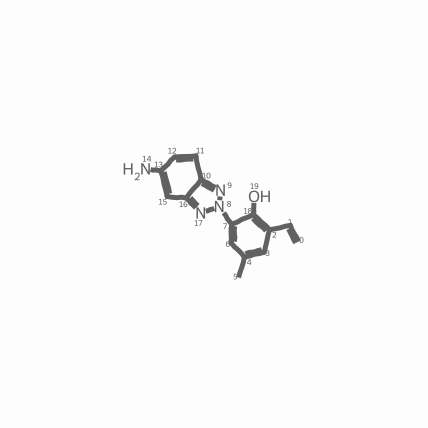 C=Cc1cc(C)cc(-n2nc3ccc(N)cc3n2)c1O